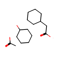 CC(=O)O.O=C(O)CC1CCCCC1.OC1CCCCC1